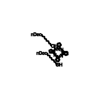 CCCCCCCCCCCCCCCCCCCCO.CCCCCCCCCCCCCCCCCCCCO.c1ccc2c(c1)-c1nc-2nc2[nH]c(nc3nc(nc4[nH]c(n1)c1ccccc41)-c1ccccc1-3)c1ccccc21